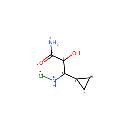 NC(=O)C(O)C(NCl)C1CC1